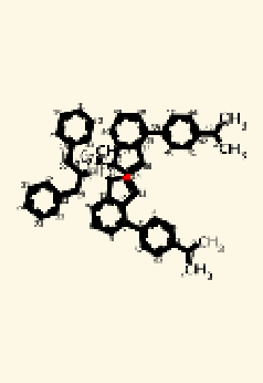 CC(C)c1ccc(-c2cccc3c2C=C[CH]3[Hf]([CH3])([CH3])(=[C](Cc2ccccc2)Cc2ccccc2)[CH]2C=Cc3c(-c4ccc(C(C)C)cc4)cccc32)cc1